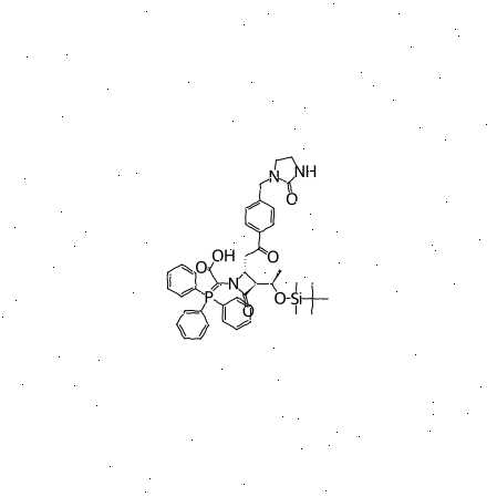 C[C@@H](O[Si](C)(C)C(C)(C)C)[C@H]1C(=O)N(C(C(=O)O)=P(c2ccccc2)(c2ccccc2)c2ccccc2)[C@@H]1CC(=O)c1ccc(CN2CCNC2=O)cc1